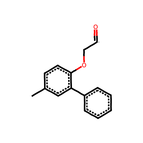 Cc1ccc(OC[C]=O)c(-c2ccccc2)c1